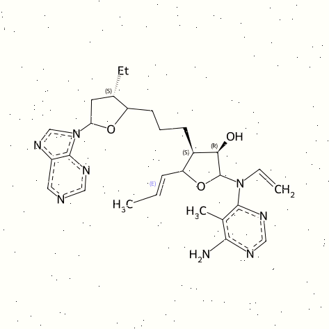 C=CN(c1ncnc(N)c1C)C1OC(/C=C/C)[C@@H](CCCC2OC(n3cnc4cncnc43)C[C@@H]2CC)[C@H]1O